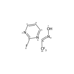 Fc1ncccn1.ON=CC(F)(F)F